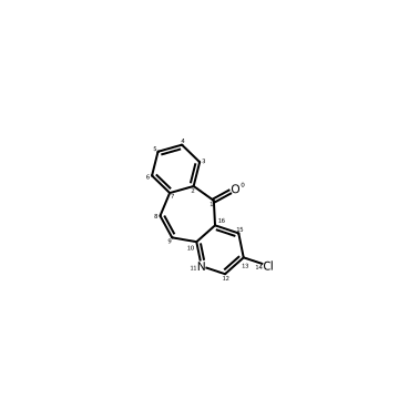 O=c1c2ccccc2ccc2ncc(Cl)cc12